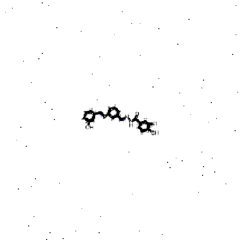 O=C(N/N=C/c1cccc(/C=C/c2cccc(O)c2)c1)c1ccc(O)c(Cl)c1